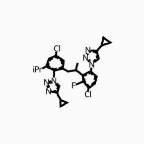 CC(C)c1cc(Cl)cc(CC(C)c2c(-n3cc(C4CC4)nn3)ccc(Cl)c2F)c1-n1cc(C2CC2)nn1